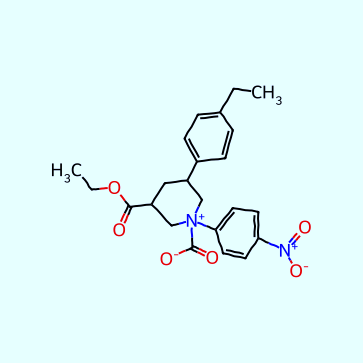 CCOC(=O)C1CC(c2ccc(CC)cc2)C[N+](C(=O)[O-])(c2ccc([N+](=O)[O-])cc2)C1